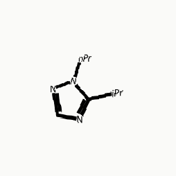 CCCn1ncnc1C(C)C